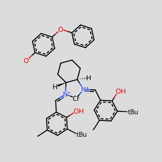 Cc1cc(C=[N+]2[Cr][N+](=Cc3cc(C)cc(C(C)(C)C)c3O)[C@@H]3CCCC[C@H]32)c(O)c(C(C)(C)C)c1.[O-]c1ccc(Oc2ccccc2)cc1